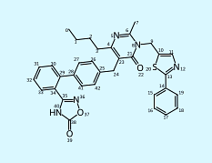 CCCCc1nc(C)n(Cc2cnc(-c3ccccc3)s2)c(=O)c1Cc1ccc(-c2ccccc2-c2noc(=O)[nH]2)cc1